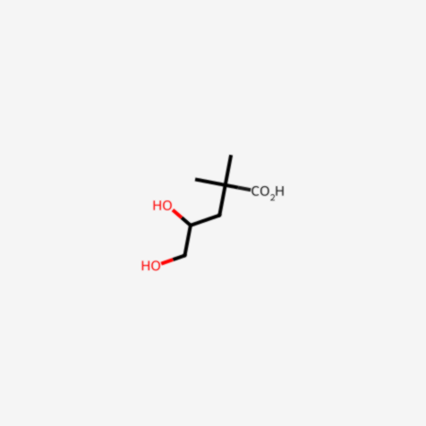 CC(C)(CC(O)CO)C(=O)O